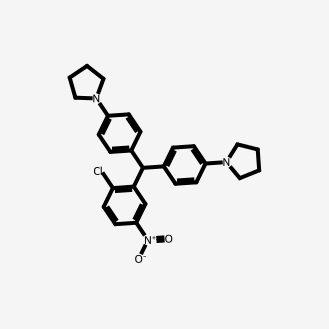 O=[N+]([O-])c1ccc(Cl)c(C(c2ccc(N3CCCC3)cc2)c2ccc(N3CCCC3)cc2)c1